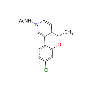 CC(=O)NN1C=CC2C(=C1)c1ccc(Cl)cc1OC2C